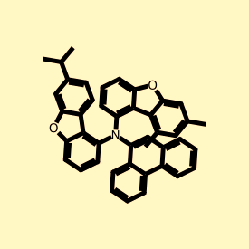 Cc1cc(C)c2c(c1)oc1cccc(N(c3cc4ccccc4c4ccccc34)c3cccc4oc5cc(C(C)C)ccc5c34)c12